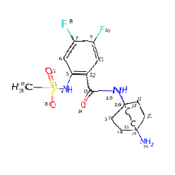 CS(=O)(=O)Nc1cc(F)c(F)cc1C(=O)NC12CCC(N)(CC1)CC2